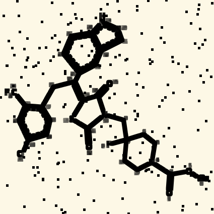 CC(C)(C)OC(=O)N1CCC(F)(CN2C(=O)SC(=C(Cc3ccc(Cl)cc3C(F)(F)F)c3ccc4[nH]ncc4c3)C2=O)CC1